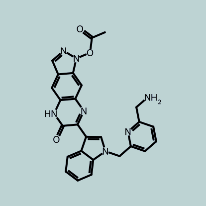 CC(=O)On1ncc2cc3[nH]c(=O)c(-c4cn(Cc5cccc(CN)n5)c5ccccc45)nc3cc21